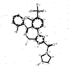 C[C@@H]1N=C(c2ncccc2F)c2c(ccc(C(F)(F)F)c2Cl)-n2nc(C(=O)N3CC[C@H](F)C3)nc21